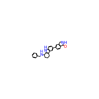 O=C1NCc2cc(-c3ccc4[nH]c5c(c4c3)CCCC5NCc3ccccc3)ccc21